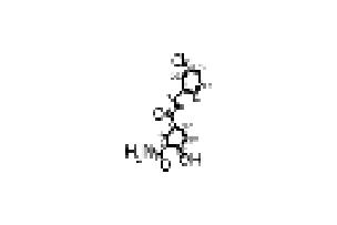 NC(=O)c1cc(C(=O)/C=C/c2cccc(Cl)c2)ccc1O